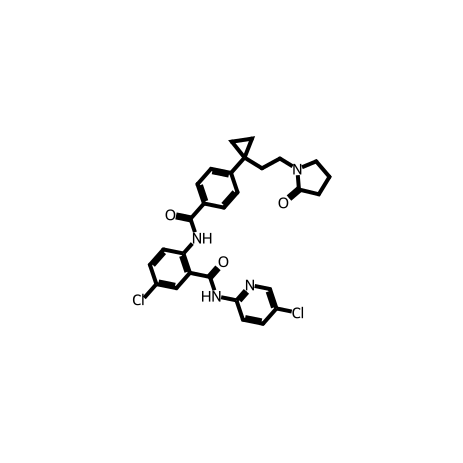 O=C(Nc1ccc(Cl)cc1C(=O)Nc1ccc(Cl)cn1)c1ccc(C2(CCN3CCCC3=O)CC2)cc1